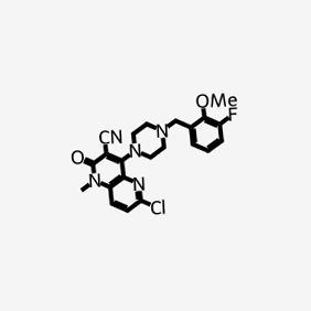 COc1c(F)cccc1CN1CCN(c2c(C#N)c(=O)n(C)c3ccc(Cl)nc23)CC1